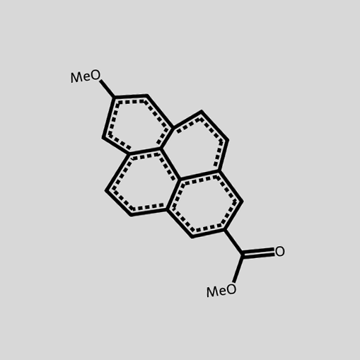 COC(=O)c1cc2ccc3cc(OC)cc4ccc(c1)c2c34